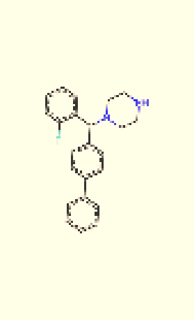 Fc1ccccc1C(c1ccc(-c2ccccc2)cc1)N1CCNCC1